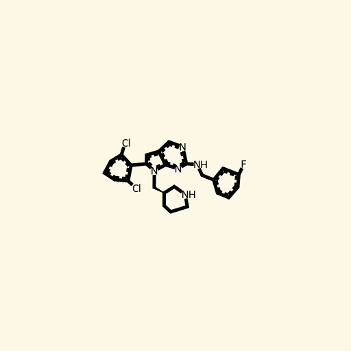 Fc1cccc(CNc2ncc3cc(-c4c(Cl)cccc4Cl)n(C[C@@H]4CCCNC4)c3n2)c1